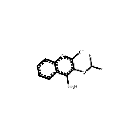 O=C(O)c1c(OC(F)F)c(C(F)(F)F)nc2ccccc12